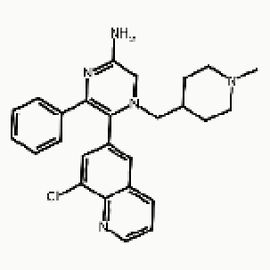 CN1CCC(CN2CC(N)=NC(c3ccccc3)=C2c2cc(Cl)c3ncccc3c2)CC1